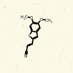 COc1cc2cc(C=CC#N)sc2cc1OC